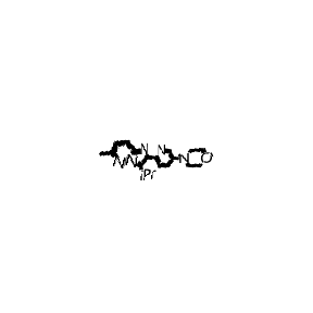 Cc1ccc2nc(-c3ccc(N4CCOCC4)cn3)c(C(C)C)n2n1